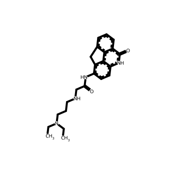 CCN(CC)CCCNCC(=O)Nc1ccc2[nH]c(=O)c3cccc4c3c2c1C4